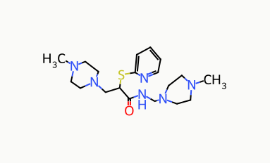 CN1CCN(CNC(=O)C(CN2CCN(C)CC2)Sc2ccccn2)CC1